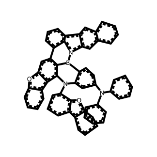 c1ccc(N(c2ccccc2)c2ccc3c(c2)N(c2cccc4c2oc2ccccc24)c2c4c(cc5oc6ccccc6c25)-c2cccc5c6cc7ccccc7cc6n(c25)B34)cc1